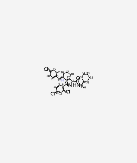 C[C@@H](NC(=O)c1nn(-c2ccc(Cl)cc2Cl)c2c1CCC/C2=C\c1ccc(Cl)cc1)C1CCCCC1